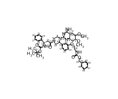 COC1CC2=NC(N3CCN(C(=O)C[C@@H](NC(=O)OC(C)(C)C)c4ccccc4)CC3c3cccc(OCCNC(=O)OCc4ccccc4)c3)=NC(N)C2CC1OC